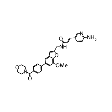 COc1cc(-c2ccc(C(=O)N3CCOCC3)cc2)cc2cc(CNC(=O)C=Cc3ccc(N)nc3)oc12